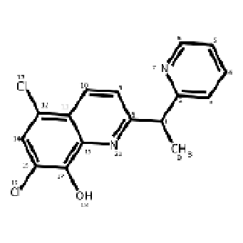 CC(c1ccccn1)c1ccc2c(Cl)cc(Cl)c(O)c2n1